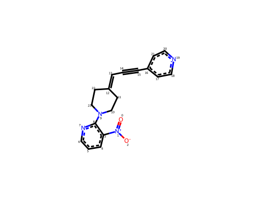 O=[N+]([O-])c1cccnc1N1CCC(=CC#Cc2ccncc2)CC1